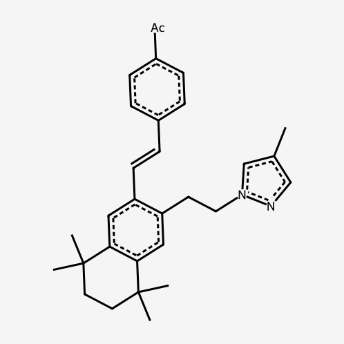 CC(=O)c1ccc(/C=C/c2cc3c(cc2CCn2cc(C)cn2)C(C)(C)CCC3(C)C)cc1